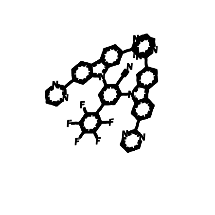 N#Cc1c(-n2c3cc(-c4ncccn4)ccc3c3ccc(-c4ncccn4)cc32)cc(-c2c(F)c(F)c(F)c(F)c2F)cc1-n1c2cc(-c3ncccn3)ccc2c2ccc(-c3ncccn3)cc21